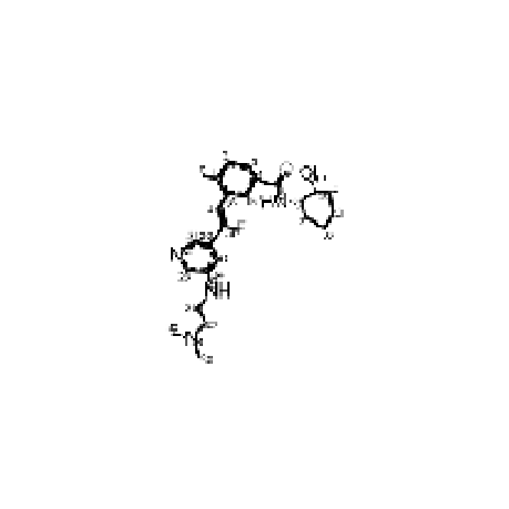 Cc1ccc(C(=O)N[C@H]2CCCC[C@@H]2O)cc1/C=C(\F)c1cncc(NCCN(C)C)c1